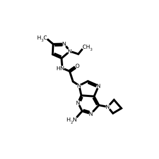 CCn1nc(C)cc1NC(=O)Cn1cnc2c(N3CCC3)nc(N)nc21